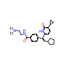 CCN(CC)CCNC(=O)c1ccc(C(=CC2CCCC2)c2ccc(C3CC3)c(=O)[nH]2)cc1